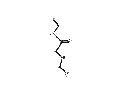 CCNC(=O)CNCO